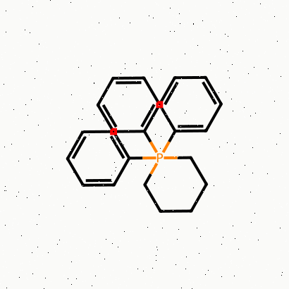 c1ccc(P2(c3ccccc3)(c3ccccc3)CCCCC2)cc1